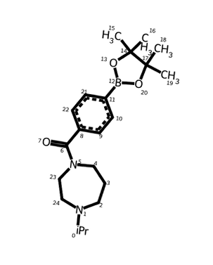 CC(C)N1CCCN(C(=O)c2ccc(B3OC(C)(C)C(C)(C)O3)cc2)CC1